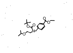 CCOC(=O)c1ccc(CN(CCOC(C)C)C(=O)OC(C)(C)C)cc1